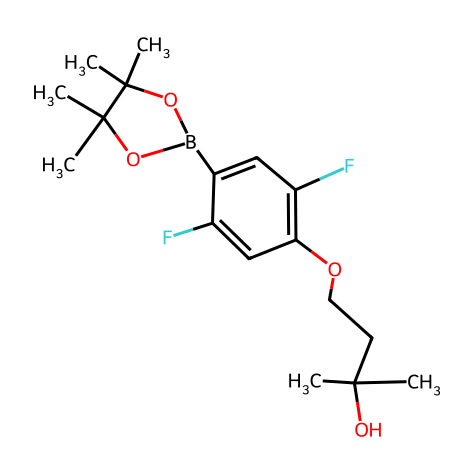 CC(C)(O)CCOc1cc(F)c(B2OC(C)(C)C(C)(C)O2)cc1F